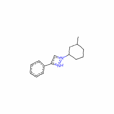 CC1CCCC(n2cc(-c3ccccc3)[nH]2)C1